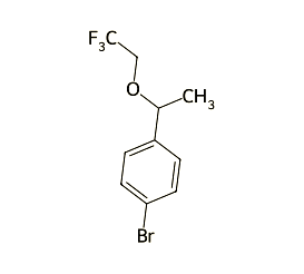 CC(OCC(F)(F)F)c1ccc(Br)cc1